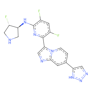 Fc1cc(F)c(-c2cnc3cc(-c4cnn[nH]4)ccn23)nc1N[C@H]1CNC[C@@H]1F